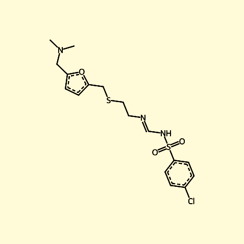 CN(C)Cc1ccc(CSCCN=CNS(=O)(=O)c2ccc(Cl)cc2)o1